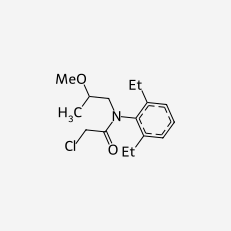 CCc1cccc(CC)c1N(CC(C)OC)C(=O)CCl